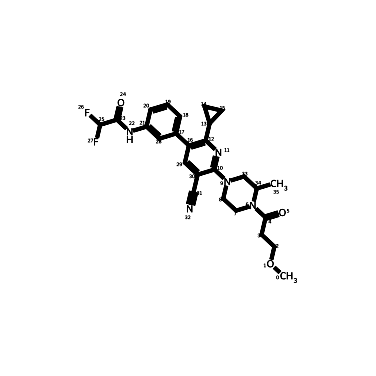 COCCC(=O)N1CCN(c2nc(C3CC3)c(-c3cccc(NC(=O)C(F)F)c3)cc2C#N)CC1C